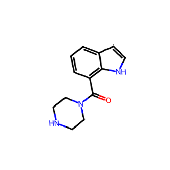 O=C(c1cccc2[c]c[nH]c12)N1CCNCC1